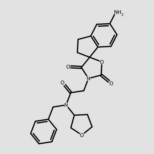 Nc1ccc2c(c1)CCC21OC(=O)N(CC(=O)N(Cc2ccccc2)C2CCOC2)C1=O